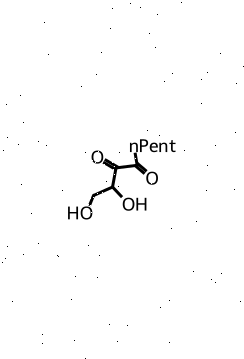 CCCCCC(=O)C(=O)C(O)CO